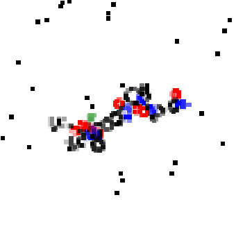 CCCOC(=O)[C@H](C)NP(=O)(Oc1ccccc1)C(F)c1ccc2ccc(C(=O)N[C@H]3CCCC[C@H]4CC[C@@H](C(=O)N5C[C@H](c6cc[nH]c(=O)c6)CC56CC6)N4C3=O)cc2c1